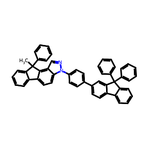 CC1(c2ccccc2)c2ccccc2-c2ccc3c(cnn3-c3ccc(-c4ccc5c(c4)C(c4ccccc4)(c4ccccc4)c4ccccc4-5)cc3)c21